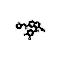 N#Cc1cnc2ccc(NCC3CCCO3)cc2c1Nc1ccc(F)c(Cl)c1